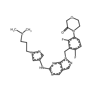 CN(C)CCCn1cc(Nc2ncc3cnn(Cc4c(F)ccc(N5CCOCC5=O)c4F)c3n2)cn1